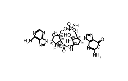 Nc1nc2c(ncn2[C@@H]2C[C@@H]3OP(=O)(S)[C@H]4[C@@H](F)[C@H](n5cnc6c(N)ncnc65)O[C@@H]4COP(=O)(S)O[C@@H]2[C@@H]3O)c(=O)o1